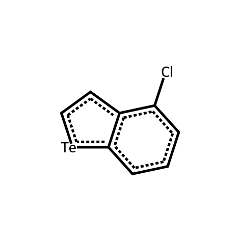 Clc1cccc2[te]ccc12